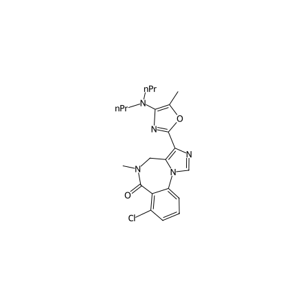 CCCN(CCC)c1nc(-c2ncn3c2CN(C)C(=O)c2c(Cl)cccc2-3)oc1C